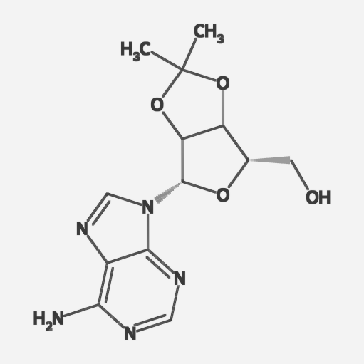 CC1(C)OC2C(O1)[C@@H](n1cnc3c(N)ncnc31)O[C@H]2CO